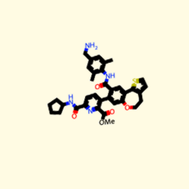 COC(=O)c1nc(C(=O)NC2CCCC2)ccc1-c1cc2c(cc1C(=O)Nc1c(C)cc(CN)cc1C)-c1sccc1CCO2